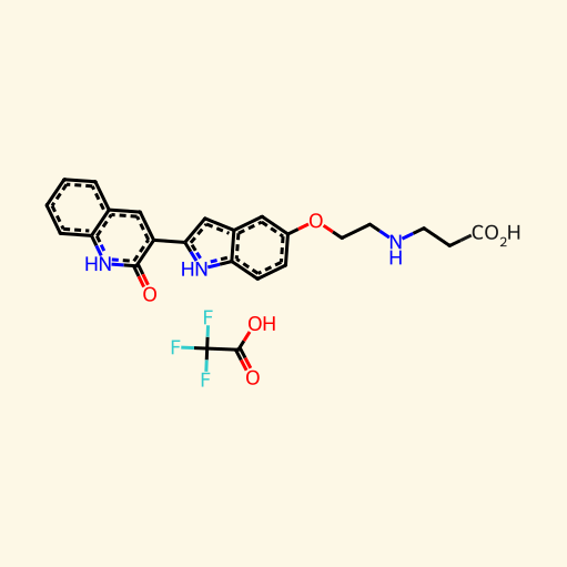 O=C(O)C(F)(F)F.O=C(O)CCNCCOc1ccc2[nH]c(-c3cc4ccccc4[nH]c3=O)cc2c1